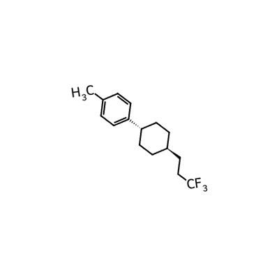 Cc1ccc([C@H]2CC[C@H](CCC(F)(F)F)CC2)cc1